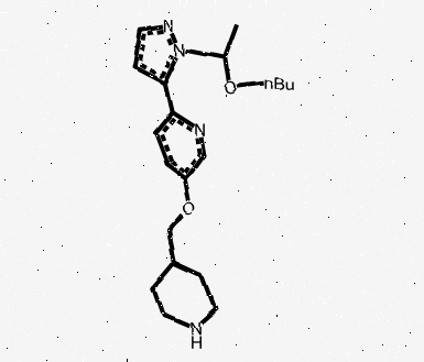 CCCCOC(C)n1nccc1-c1ccc(OCC2CCNCC2)cn1